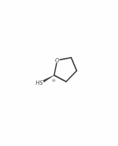 S[C@@H]1CCCO1